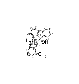 CC1COCC(C)N1CC(C)C(O)(c1ccccc1)c1ccccc1